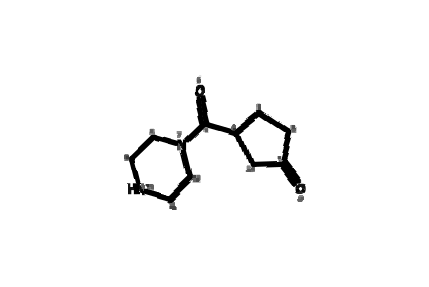 O=C1CCC(C(=O)N2CCNCC2)C1